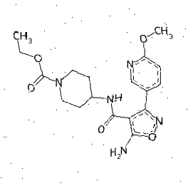 CCOC(=O)N1CCC(NC(=O)c2c(-c3ccc(OC)nc3)noc2N)CC1